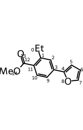 CCc1cc(-c2ccco2)ccc1C(=O)OC